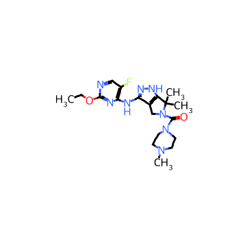 CCOc1ncc(F)c(Nc2n[nH]c3c2CN(C(=O)N2CCN(C)CC2)C3(C)C)n1